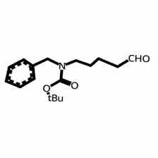 CC(C)(C)OC(=O)N(CCCCC=O)Cc1ccccc1